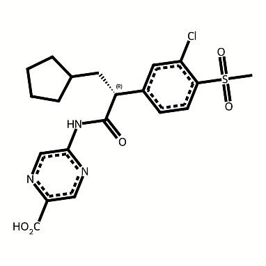 CS(=O)(=O)c1ccc([C@@H](CC2CCCC2)C(=O)Nc2cnc(C(=O)O)cn2)cc1Cl